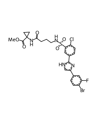 COC(=O)C1(NC(=O)CCCNS(=O)(=O)c2cc(-c3nc(-c4ccc(Br)c(F)c4)c[nH]3)ccc2Cl)CC1